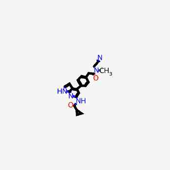 CN(CC#N)C(=O)Cc1ccc(-c2cc(NC(=O)C3CC3)nc3[nH]ccc23)cc1